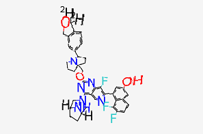 [2H]C1([2H])OCc2cc(C3CCC4(COc5nc(N6C[C@H]7CC[C@@H](C6)N7)c6cnc(-c7cc(O)cc8ccc(F)c(F)c78)c(F)c6n5)CCCN34)ccc21